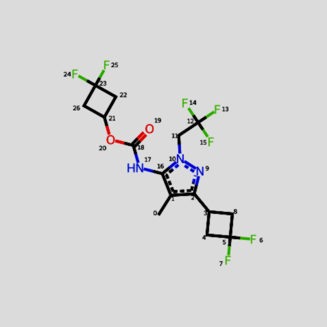 Cc1c(C2CC(F)(F)C2)nn(CC(F)(F)F)c1NC(=O)OC1CC(F)(F)C1